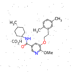 COc1ncc(C(=O)N[C@]2(C(=O)O)CC[C@@H](C)CC2)cc1OCCc1cc(C)ccc1C